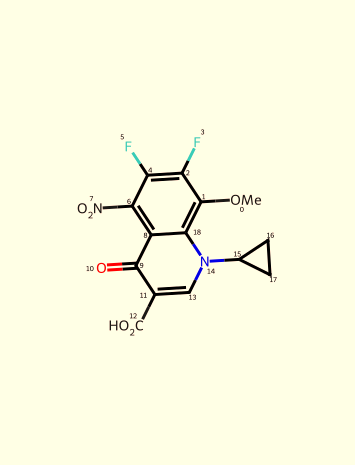 COc1c(F)c(F)c([N+](=O)[O-])c2c(=O)c(C(=O)O)cn(C3CC3)c12